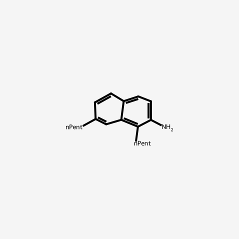 CCCCCc1ccc2ccc(N)c(CCCCC)c2c1